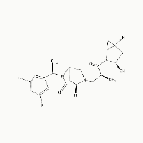 C[C@H](c1cc(F)cc(F)c1)N1C(=O)[C@@H]2CC1CN2C[C@H](C)C(=O)N1C2C[C@H]2C[C@H]1C#N